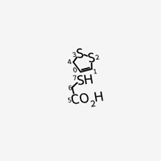 C1=CSSC1.O=C(O)CS